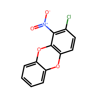 O=[N+]([O-])c1c(Cl)ccc2c1Oc1ccccc1O2